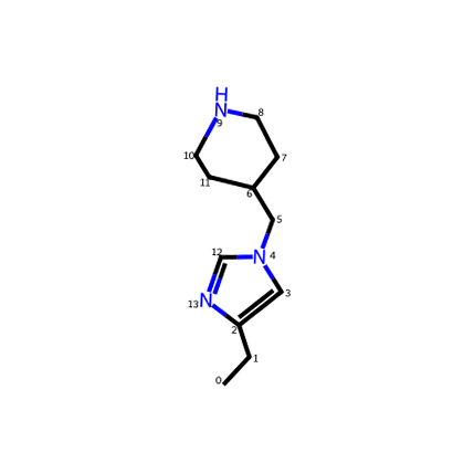 CCc1cn(CC2CCNCC2)cn1